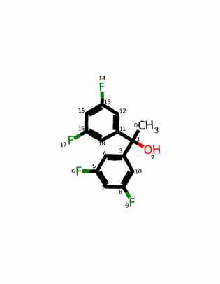 CC(O)(c1cc(F)cc(F)c1)c1cc(F)cc(F)c1